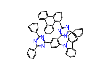 c1ccc(-c2nc(-c3ccccc3)nc(-c3ccc(-n4c5ccccc5c5ccccc54)c(-c4nc(-c5ccccc5)nc(-c5cccc6c7ccccc7c7ccccc7c56)n4)c3)n2)cc1